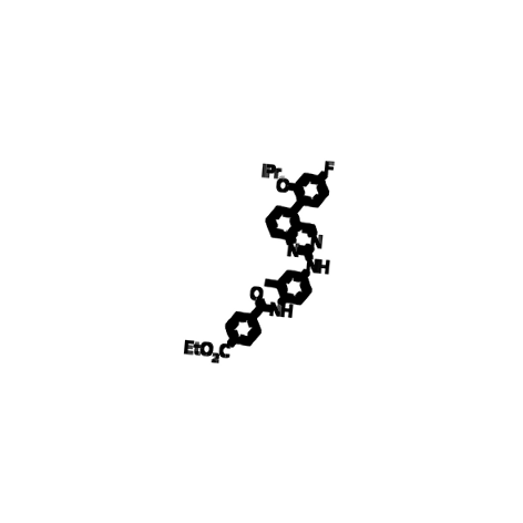 CCOC(=O)c1ccc(C(=O)Nc2ccc(Nc3ncc4c(-c5ccc(F)cc5OC(C)C)cccc4n3)cc2C)cc1